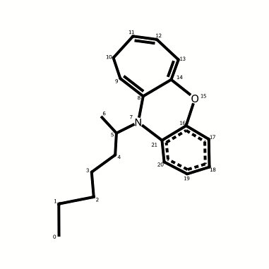 CCCCCC(C)N1C2=CCC=CC=C2Oc2ccccc21